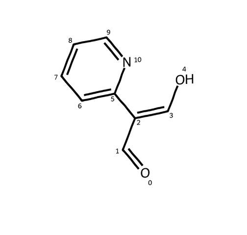 O=C/C(=C/O)c1ccccn1